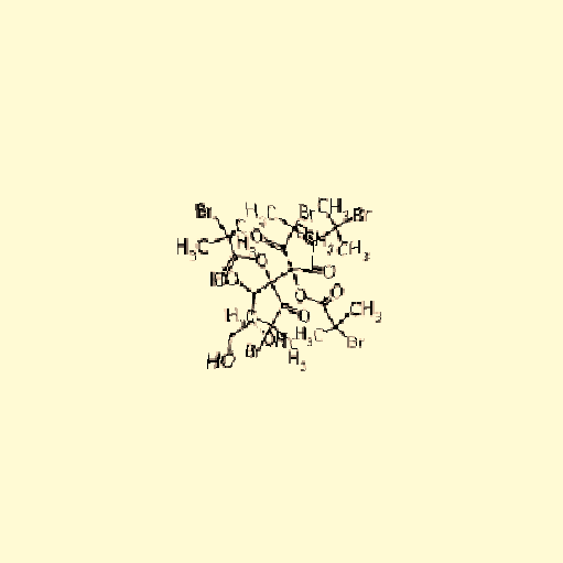 CC(C)(Br)C(=O)O[C@](C(=O)C(=O)C(C)(C)Br)(C(=O)C(C)(C)Br)[C@](OC(=O)C(C)(C)Br)(C(=O)C(C)(C)Br)[C@H](O)[C@H](O)CO